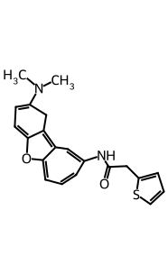 CN(C)C1=CC=c2oc3c(c2C1)C=C(NC(=O)Cc1cccs1)C=CC=3